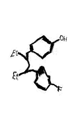 CCC(c1ccc(O)cc1)C(CC)c1ccc(F)cc1